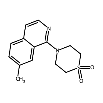 Cc1ccc2ccnc(N3CCS(=O)(=O)CC3)c2c1